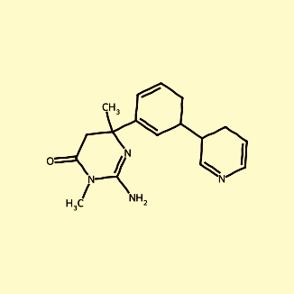 CN1C(=O)CC(C)(C2=CC(C3C=NC=CC3)CC=C2)N=C1N